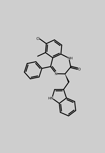 Cc1c(Cl)ccc2c1C(c1ccccc1)=N[C@H](Cc1c[nH]c3ccccc13)C(=O)N2